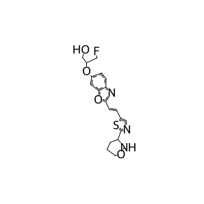 OCC(CF)Oc1ccc2nc(/C=C/c3cnc(C4CCCON4)s3)oc2c1